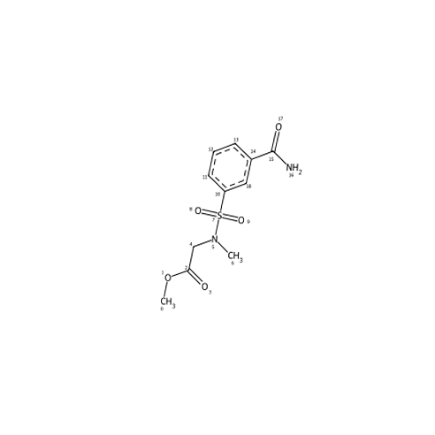 COC(=O)CN(C)S(=O)(=O)c1cccc(C(N)=O)c1